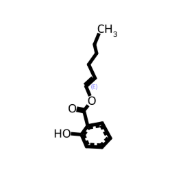 CCCC/C=C/OC(=O)c1ccccc1O